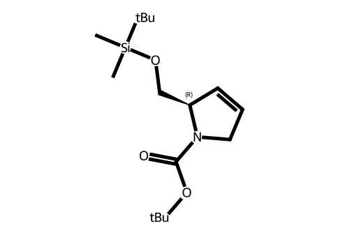 CC(C)(C)OC(=O)N1CC=C[C@@H]1CO[Si](C)(C)C(C)(C)C